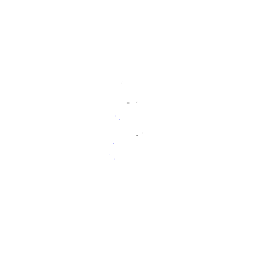 Oc1ccc([C@@H]2N3c4ccccc4CCC3[C@@H](O)N2Nc2ccccc2)cc1